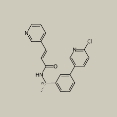 C[C@H](NC(=O)C=Cc1cccnc1)c1cccc(-c2ccc(Cl)nc2)c1